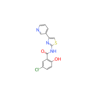 O=C(Nc1nc(-c2cccnc2)cs1)c1cc(Cl)ccc1O